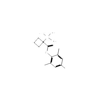 CCCC[PH](CCCC)(CCCC)C1(C(=O)Nc2c(C)cc(Cl)cc2C)CCC1